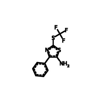 Nc1sc(SC(F)(F)F)nc1-c1ccccc1